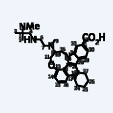 CNC(C)(C)CNCCN(C)[C@H]1COc2cccc(C)c2-c2c(C3CCCCC3)c3ccc(C(=O)O)cc3n2C1